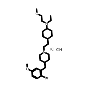 CCN(CCOC)C1CCC(CCN2CCC(Cc3cc(OC)ccc3Br)CC2)CC1.Cl.Cl